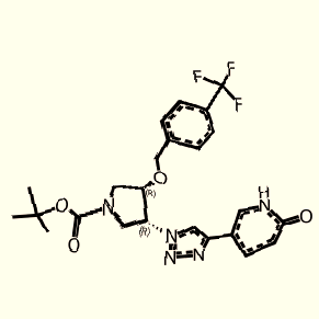 CC(C)(C)OC(=O)N1C[C@@H](n2cc(-c3ccc(=O)[nH]c3)nn2)[C@H](OCc2ccc(C(F)(F)F)cc2)C1